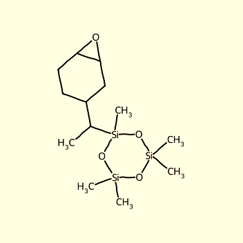 CC(C1CCC2OC2C1)[Si]1(C)O[Si](C)(C)O[Si](C)(C)O1